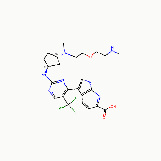 CNCCOCCN(C)[C@H]1CC[C@H](Nc2ncc(C(F)(F)F)c(-c3c[nH]c4nc(C(=O)O)ccc34)n2)C1